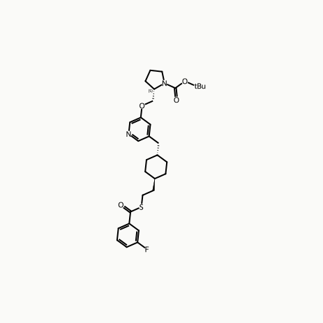 CC(C)(C)OC(=O)N1CCC[C@H]1COc1cncc(C[C@H]2CC[C@H](CCSC(=O)c3cccc(F)c3)CC2)c1